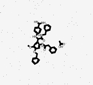 CC(=O)O.COc1cc(C(Nc2ccc(C(=N)N)cc2)C(=O)NCc2ccccc2)c(NC(=O)Cc2ccccc2)cc1OCc1ccccc1